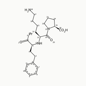 CC(C)C(=O)[C@H](CCc1ccccc1)N[C@@H](CCCCN)C(=O)N1CCC[C@H]1C(=O)O